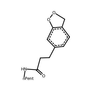 CCCCCNC(=O)CCc1ccc2c(c1)OOC2